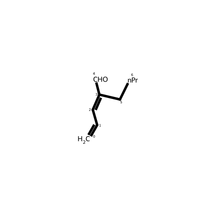 C=C/C=C(/C=O)CCCC